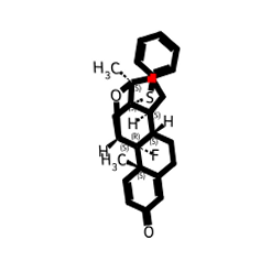 C[C@]12C=CC(=O)C=C1CC[C@H]1[C@@H]3CC[C@]4(C)O[C@@H](C[C@]34Sc3ccccc3)[C@@]12F